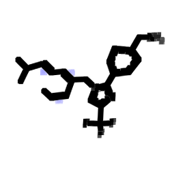 C\C=C/C(=C\C=C\C(C)C)Cn1cc(C(F)(F)F)nc1-c1ccc(CN)cc1